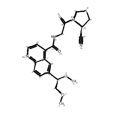 COC[C@H](OC)c1ccc2nccc(C(=O)NCC(=O)N3CSC[C@H]3C#N)c2c1